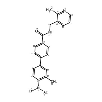 CCN(C(C)=O)c1ccc(-c2ccc(C(=O)NCc3cccnc3C)cn2)cc1C